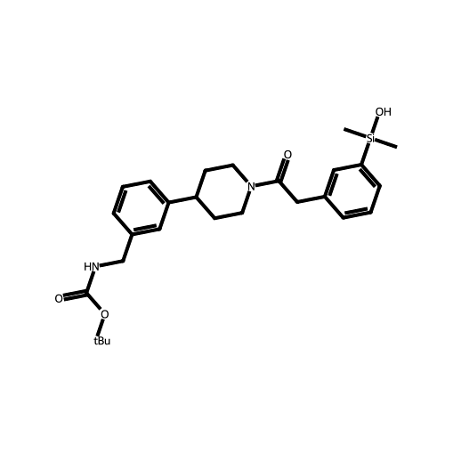 CC(C)(C)OC(=O)NCc1cccc(C2CCN(C(=O)Cc3cccc([Si](C)(C)O)c3)CC2)c1